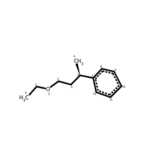 CCOCC[C@@H](C)c1ccccc1